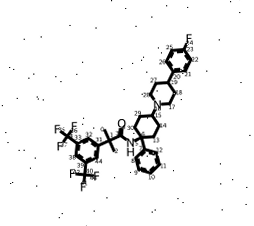 CC(C)(C(=O)NC1(c2ccccc2)CCC(N2CCC(c3ccc(F)cc3)CC2)CC1)c1cc(C(F)(F)F)cc(C(F)(F)F)c1